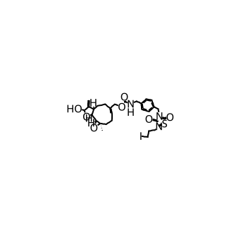 C=C1C(O)O[C@H]2[C@H]1CC/C(COC(=O)NCc1ccc(Cn3c(=O)sn(CCCI)c3=O)cc1)=C\CC[C@@]1(C)O[C@@H]21